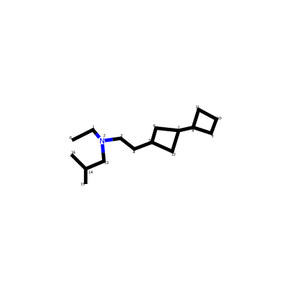 CCN(CCC1CC(C2CCC2)C1)CC(C)C